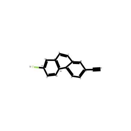 C#Cc1ccc2c(ccc3cc(F)ccc32)c1